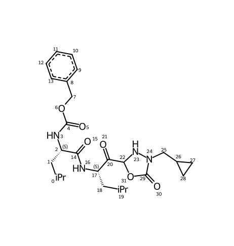 CC(C)C[C@H](NC(=O)OCc1ccccc1)C(=O)N[C@@H](CC(C)C)C(=O)C1NN(CC2CC2)C(=O)O1